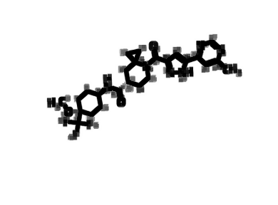 CO[C@]1(C(F)(F)F)CC[C@@H](NC(=O)[C@H]2CCN(C(=O)c3cc(-c4cc(C)ncn4)[nH]n3)C3(CC3)C2)CC1